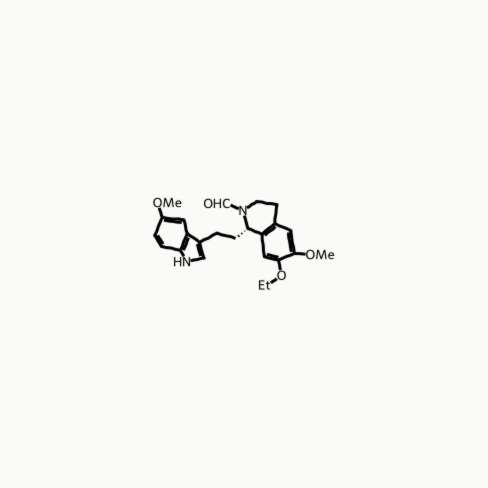 CCOc1cc2c(cc1OC)CCN(C=O)[C@H]2CCc1c[nH]c2ccc(OC)cc12